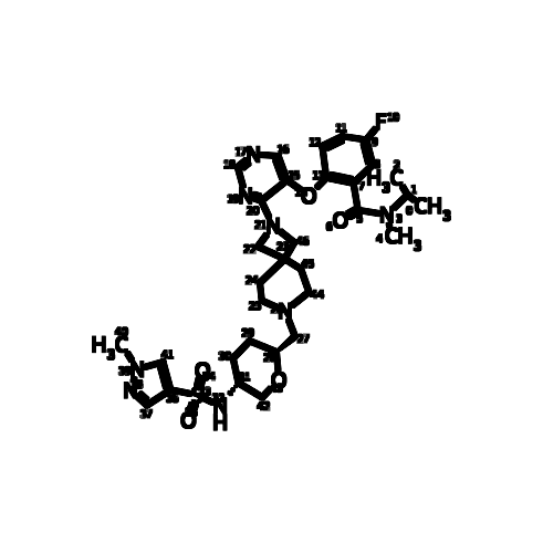 CC(C)N(C)C(=O)c1cc(F)ccc1Oc1cncnc1N1CC2(CCN(C[C@@H]3CC[C@@H](NS(=O)(=O)c4cnn(C)c4)CO3)CC2)C1